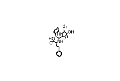 C[C@H](NC(=O)[C@H](Cc1ccsc1)NC(CCc1ccccc1)C(=O)O)C(=O)O